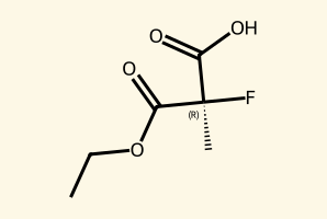 CCOC(=O)[C@](C)(F)C(=O)O